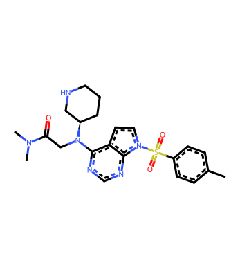 Cc1ccc(S(=O)(=O)n2ccc3c(N(CC(=O)N(C)C)[C@@H]4CCCNC4)ncnc32)cc1